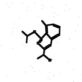 Cc1cccc2cc(C(C)Br)nc(OC(C)C)c12